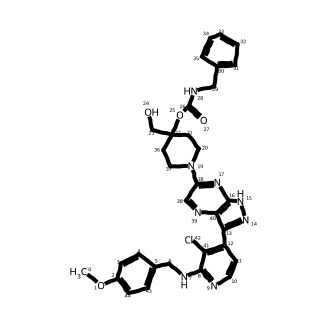 COc1ccc(CNc2nccc(-c3n[nH]c4nc(N5CCC(CO)(OC(=O)NCc6ccccc6)CC5)cnc34)c2Cl)cc1